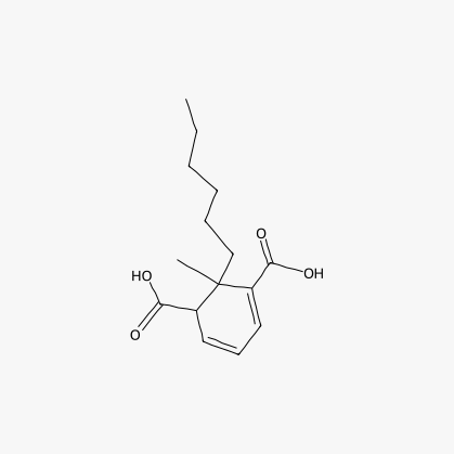 CCCCCCC1(C)C(C(=O)O)=CC=CC1C(=O)O